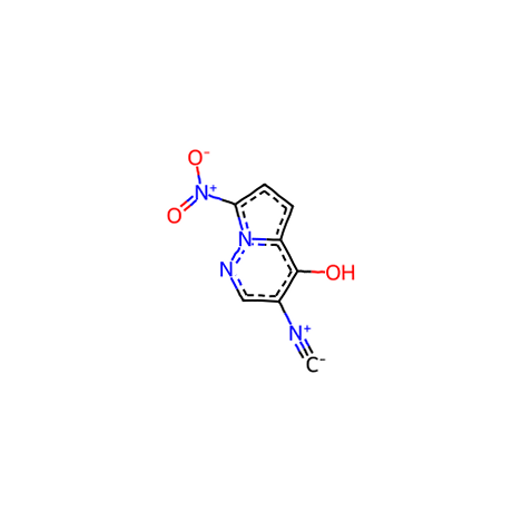 [C-]#[N+]c1cnn2c([N+](=O)[O-])ccc2c1O